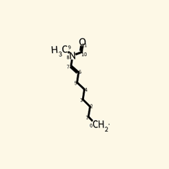 [CH2]CCCCCC=CN(C)C=O